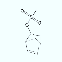 CS(=O)(=O)OC1CC2C=CC1C2